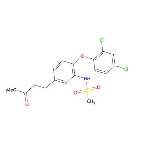 COC(=O)CCc1ccc(Oc2ccc(Cl)cc2Cl)c(NS(C)(=O)=O)c1